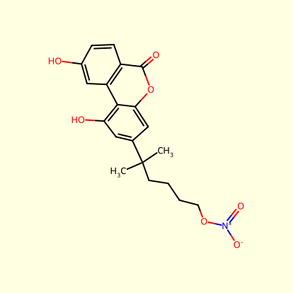 CC(C)(CCCCO[N+](=O)[O-])c1cc(O)c2c(c1)oc(=O)c1ccc(O)cc12